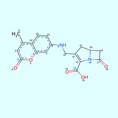 Cc1cc(=O)oc2cc(NCC3=C(C(=O)O)N4C(=O)CC4C3)ccc12